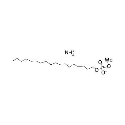 CCCCCCCCCCCCCCCCCCOP(=O)([O-])[O][Mo].[NH4+]